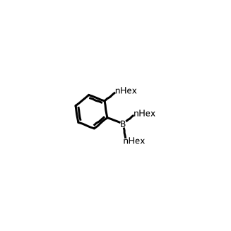 CCCCCCB(CCCCCC)c1ccccc1CCCCCC